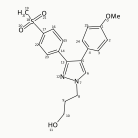 COc1ccc(-c2cn(CCCO)nc2-c2ccc(S(C)(=O)=O)cc2)cc1